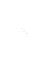 COC(=O)c1cc(O)cc(-c2ncc(Cl)s2)c1F